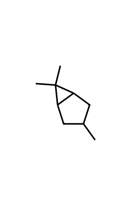 CC1CC2C(C1)C2(C)C